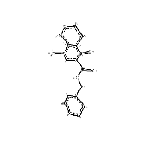 Cn1cc(C(=O)OCc2ccccc2)c(=O)c2cccnc21